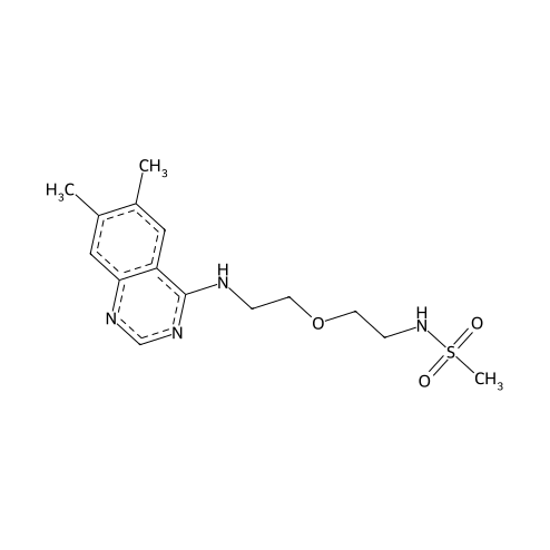 Cc1cc2ncnc(NCCOCCNS(C)(=O)=O)c2cc1C